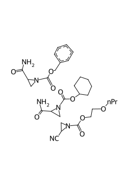 CCCOCCOC(=O)N1CC1C#N.NC(=O)C1CN1C(=O)OC1CCCCC1.NC(=O)C1CN1C(=O)OCc1ccccc1